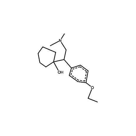 CCOc1ccc(C(CN(C)C)C2(O)CCCCC2)cc1